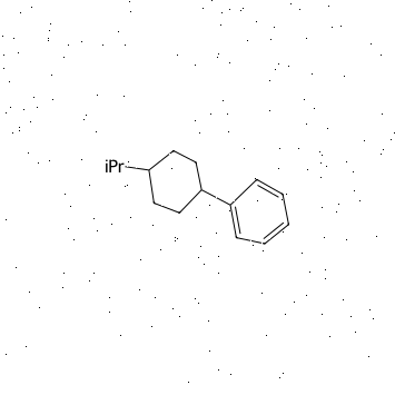 CC(C)C1CCC(c2ccccc2)CC1